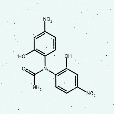 NC(=O)N(c1ccc([N+](=O)[O-])cc1O)c1ccc([N+](=O)[O-])cc1O